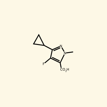 Cn1nc(C2CC2)c(F)c1C(=O)O